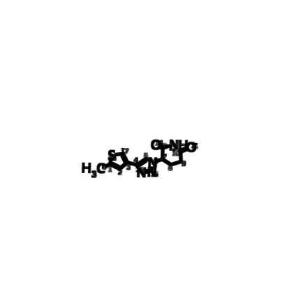 Cc1cc(-c2cn(C3CCC(=O)NC3=O)nn2)cs1